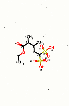 CCOC(=O)C(C)C(C)CC(S(=O)(=O)O)S(=O)(=O)O